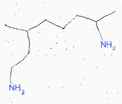 CC(N)CCCC(C)CCN